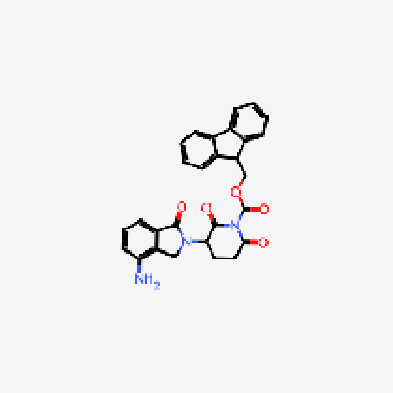 Nc1cccc2c1CN(C1CCC(=O)N(C(=O)OCC3c4ccccc4-c4ccccc43)C1=O)C2=O